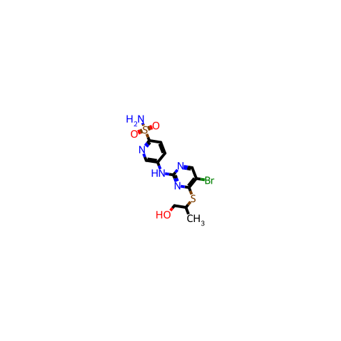 CC(CO)Sc1nc(Nc2ccc(S(N)(=O)=O)nc2)ncc1Br